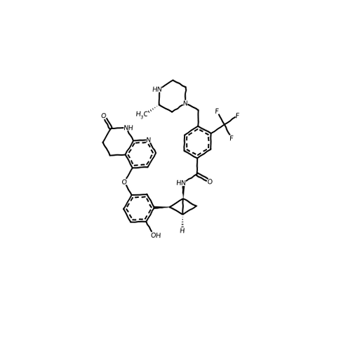 C[C@H]1CN(Cc2ccc(C(=O)N[C@@]34C[C@H]3[C@H]4c3cc(Oc4ccnc5c4CCC(=O)N5)ccc3O)cc2C(F)(F)F)CCN1